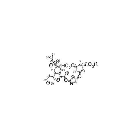 Cc1c(C(=O)O)cc(Oc2cnc(OC(=O)C(OC3CCCOC3)c3ccc(S(=O)(=O)C4CC4)cc3)s2)cc1C(=O)O